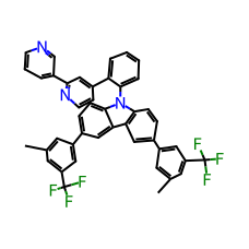 Cc1cc(-c2ccc3c(c2)c2cc(-c4cc(C)cc(C(F)(F)F)c4)ccc2n3-c2ccccc2-c2ccnc(-c3cccnc3)c2)cc(C(F)(F)F)c1